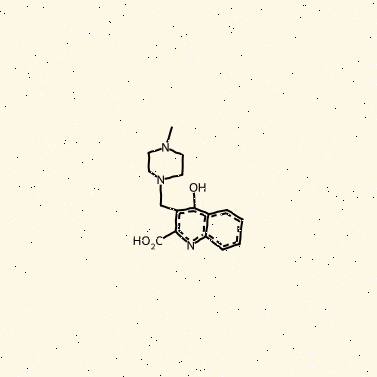 CN1CCN(Cc2c(C(=O)O)nc3ccccc3c2O)CC1